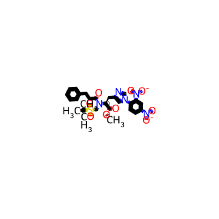 COC(=O)[C@H](Cc1cn(-c2ccc([N+](=O)[O-])cc2[N+](=O)[O-])cn1)N(CS(=O)(=O)C(C)(C)C)C(=O)CCc1ccccc1